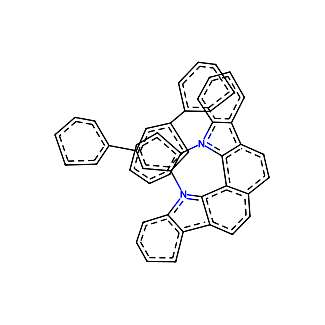 c1ccc(-c2cc(-c3ccccc3)cc(-n3c4ccccc4c4ccc5ccc6c7ccccc7n(-c7ccccc7)c6c5c43)c2)cc1